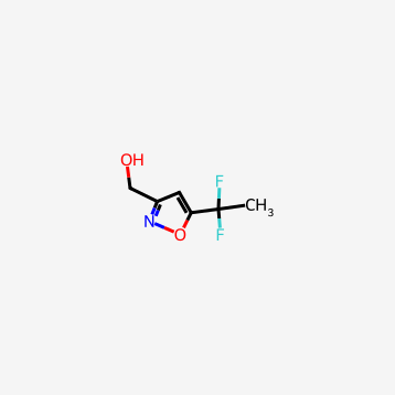 CC(F)(F)c1cc(CO)no1